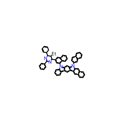 CCC1C(c2cc(-n3c4ccccc4c4cc5c6cc7ccccc7cc6n(-c6ccc7ccccc7c6)c5cc43)c3ccccc3c2)=NC(c2ccccc2)=NC1C1C=CC=CC1